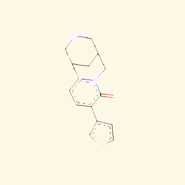 O=c1c(-c2ccsc2)ccc2n1CC1CNCC2C1